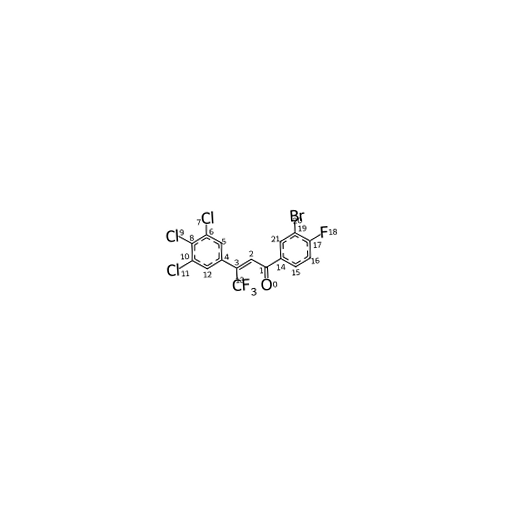 O=C(C=C(c1cc(Cl)c(Cl)c(Cl)c1)C(F)(F)F)c1ccc(F)c(Br)c1